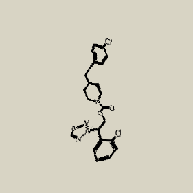 O=C(OCC(c1ccccc1Cl)n1ncnn1)N1CCC(Cc2ccc(Cl)cc2)CC1